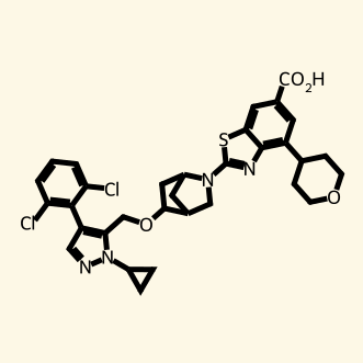 O=C(O)c1cc(C2CCOCC2)c2nc(N3CC4CC3CC4OCc3c(-c4c(Cl)cccc4Cl)cnn3C3CC3)sc2c1